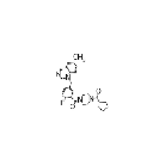 Cc1ccc2c(c1)C=NCN2Cc1ccc(F)c(C(=O)N2CCN(C(=O)C3CCCC3)CC2)c1